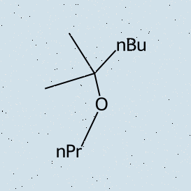 CCCCC(C)(C)OCCC